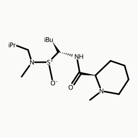 CC[C@H](C)[C@H](NC(=O)[C@H]1CCCCN1C)[S+]([O-])N(C)CC(C)C